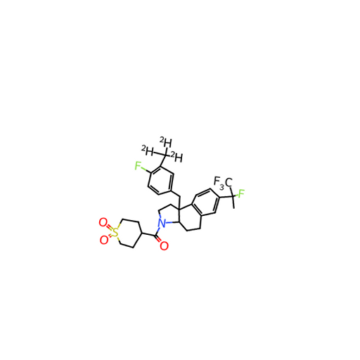 [2H]C([2H])([2H])c1cc(CC23CCN(C(=O)C4CCS(=O)(=O)CC4)C2CCc2cc(C(C)(F)C(F)(F)F)ccc23)ccc1F